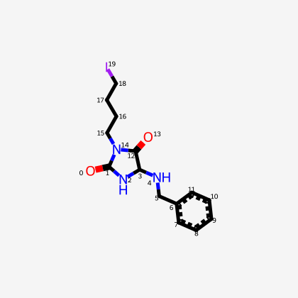 O=C1NC(NCc2ccccc2)C(=O)N1CCCCI